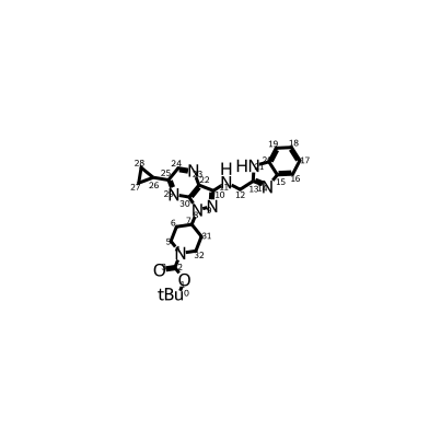 CC(C)(C)OC(=O)N1CCC(n2nc(NCc3nc4ccccc4[nH]3)c3ncc(C4CC4)nc32)CC1